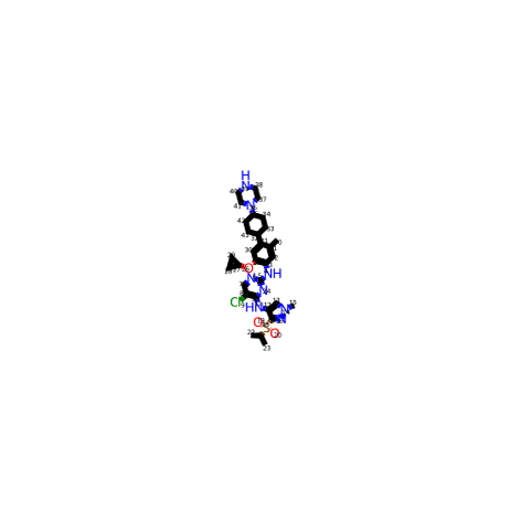 Cc1cc(Nc2ncc(Cl)c(Nc3cn(C)nc3S(=O)(=O)C(C)C)n2)c(OC2CC2)cc1C1CCC(N2CCNCC2)CC1